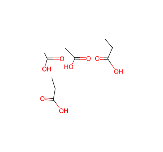 CC(=O)O.CC(=O)O.CCC(=O)O.CCC(=O)O